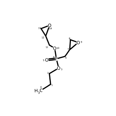 CCCOP(=O)(CC1CO1)OCC1CO1